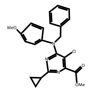 COC(=O)c1nc(C2CC2)nc(N(Cc2ccccc2)c2ccc(OC)cc2)c1Cl